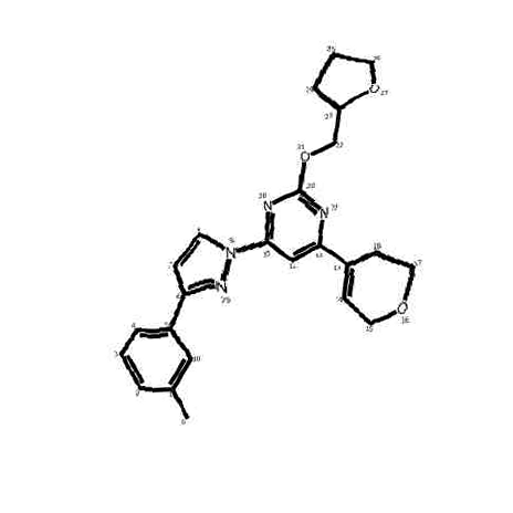 Cc1cccc(-c2ccn(-c3cc(C4=CCOCC4)nc(OCC4CCCO4)n3)n2)c1